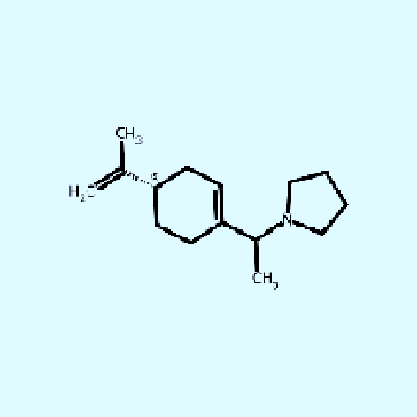 C=C(C)[C@@H]1CC=C(C(C)N2CCCC2)CC1